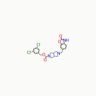 O=C(OCc1cc(Cl)cc(Cl)c1)N1CC2CN(Cc3ccc4[nH]c(=O)oc4c3)CC2C1